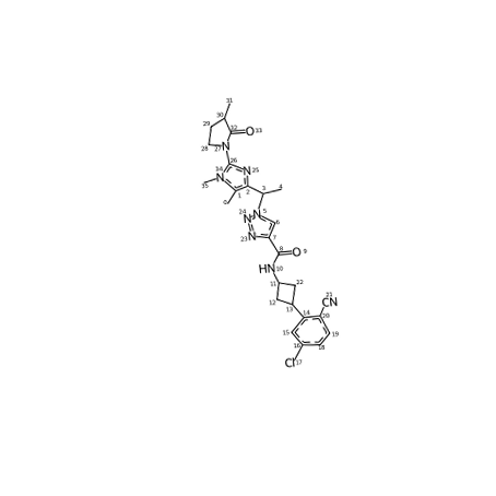 Cc1c(C(C)n2cc(C(=O)NC3CC(c4cc(Cl)ccc4C#N)C3)nn2)nc(N2CCC(C)C2=O)n1C